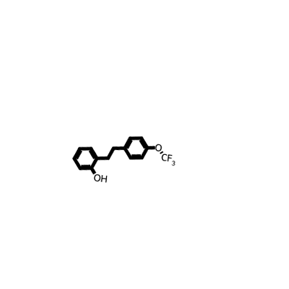 Oc1ccccc1CCc1ccc(OC(F)(F)F)cc1